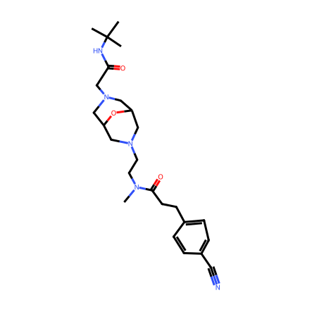 CN(CCN1CC2CN(CC(=O)NC(C)(C)C)CC(C1)O2)C(=O)CCc1ccc(C#N)cc1